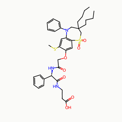 CCCCC1(CCCC)CN(c2ccccc2)c2cc(SC)c(OCC(=O)N[C@@H](C(=O)NCCC(=O)O)c3ccccc3)cc2S(=O)(=O)C1